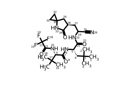 CC(C)(C)C[C@H](NC(=O)[C@@H](NC(=O)C(F)(F)F)C(C)(C)C)C(=O)NC(C#N)C[C@@H]1CC2(CC2)NC1=O